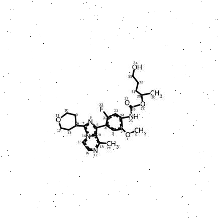 COc1cc(-c2nc(C3CCOCC3)n3ccnc(C)c23)c(F)cc1NC(=O)OC(C)CCCO